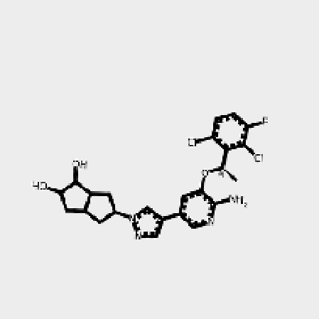 C[C@@H](Oc1cc(-c2cnn(C3CC4CC(O)C(O)C4C3)c2)cnc1N)c1c(Cl)ccc(F)c1Cl